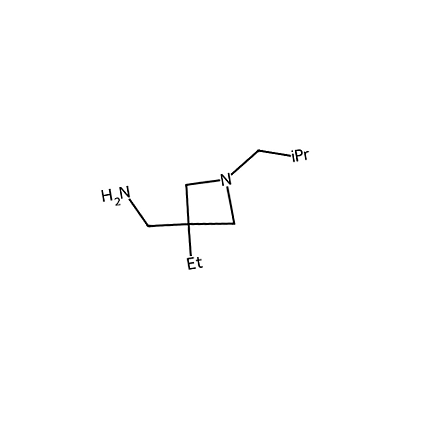 CCC1(CN)CN(CC(C)C)C1